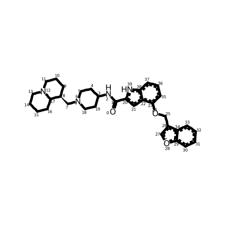 O=C(NC1CCN(C[C@@H]2CCCN3CCCCC23)CC1)c1cc2c(OCc3coc4ccccc34)cccc2[nH]1